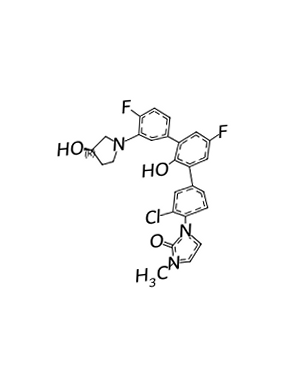 Cn1ccn(-c2ccc(-c3cc(F)cc(-c4ccc(F)c(N5CC[C@@H](O)C5)c4)c3O)cc2Cl)c1=O